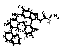 CNC(=O)Cn1cc2cc(Nc3nc(=O)n(-c4cncc5ccccc45)c(=O)n3Cc3cc(F)c(F)c(F)c3)c(Cl)cc2n1